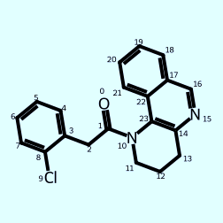 O=C(Cc1ccccc1Cl)N1CCCc2ncc3ccccc3c21